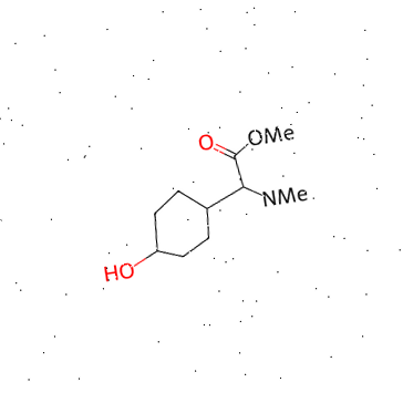 CNC(C(=O)OC)C1CCC(O)CC1